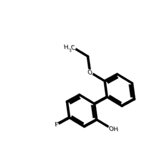 CCOc1ccccc1-c1ccc(F)cc1O